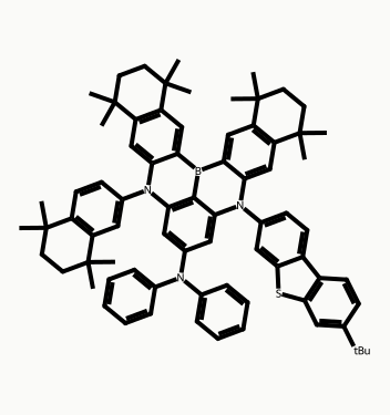 CC(C)(C)c1ccc2c(c1)sc1cc(N3c4cc5c(cc4B4c6cc7c(cc6N(c6ccc8c(c6)C(C)(C)CCC8(C)C)c6cc(N(c8ccccc8)c8ccccc8)cc3c64)C(C)(C)CCC7(C)C)C(C)(C)CCC5(C)C)ccc12